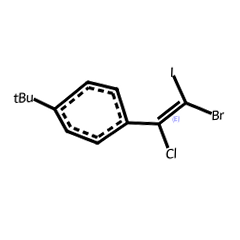 CC(C)(C)c1ccc(/C(Cl)=C(/Br)I)cc1